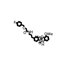 COc1cccc(NS(=O)(=O)c2ccc(CCCNC(=O)COCc3ccc(F)cc3)cc2)c1OC